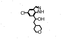 OC(CC1CCOCC1)c1cc(Cl)cc2cn[nH]c12